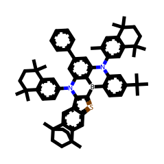 Cc1cc2c(cc1N1c3cc(C(C)(C)C)ccc3B3c4sc5cc6c(cc5c4N(c4ccc5c(c4)C(C)(C)CCC5(C)C)c4cc(-c5ccccc5)cc1c43)C1(C)CCC6(C)CC1)C(C)(C)CCC2(C)C